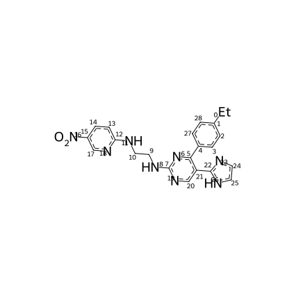 CCc1ccc(-c2nc(NCCNc3ccc([N+](=O)[O-])cn3)ncc2-c2ncc[nH]2)cc1